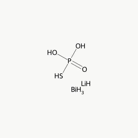 O=P(O)(O)S.[BiH3].[LiH]